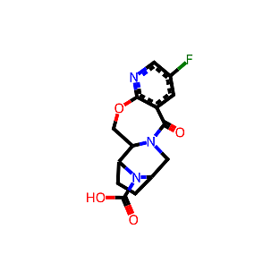 O=C1c2cc(F)cnc2OCC2C3CCC(CN12)N3C(=O)O